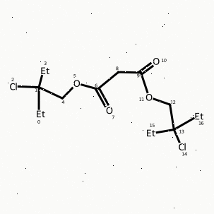 CCC(Cl)(CC)COC(=O)CC(=O)OCC(Cl)(CC)CC